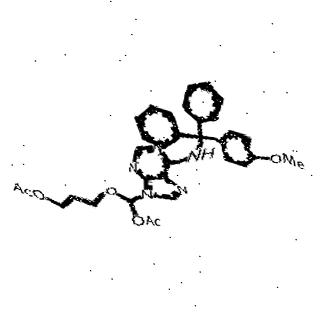 COc1ccc(C(Nc2ncnc3c2ncn3C(OCCCOC(C)=O)OC(C)=O)(c2ccccc2)c2ccccc2)cc1